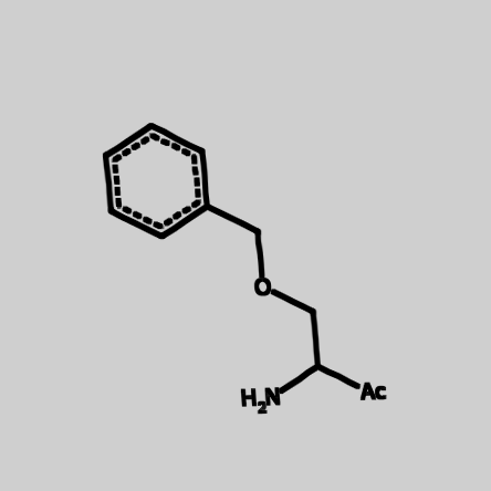 CC(=O)C(N)COCc1ccccc1